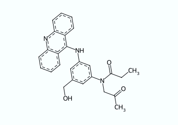 CCC(=O)N(CC(C)=O)c1cc(CO)cc(Nc2c3ccccc3nc3ccccc23)c1